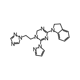 c1ccc2c(c1)CCN2C1=NCN(CCn2cncn2)C(n2cccn2)=N1